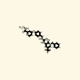 CNC(=O)c1cc(Oc2ccc(CNC(=O)Nc3cc(C(F)(F)F)cn(Cc4ccccc4)c3=O)cc2)ccn1